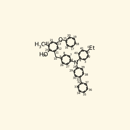 CCc1ccc(N(c2ccc(Cc3cc(Oc4ccccc4)cc(C)c3O)cc2)c2ccc(-c3ccccc3)cc2)cc1